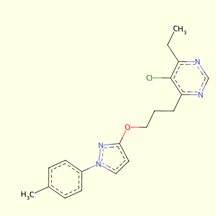 CCc1ncnc(CCCOc2ccn(-c3ccc(C)cc3)n2)c1Cl